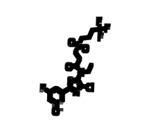 CCN(C(=O)CCS(=O)(=O)CCCC(F)(F)F)c1sc(-c2cc(F)c[n+]([O-])c2)nc1Cl